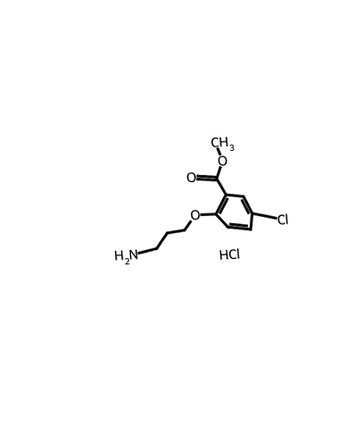 COC(=O)c1cc(Cl)ccc1OCCCN.Cl